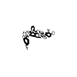 N=CC1=C(Nc2ccc(F)cc2)C=C2CCN(S(=O)(=O)c3ccc(Cl)c(F)c3)C[C@@]2(C(=O)c2ccccn2)C1